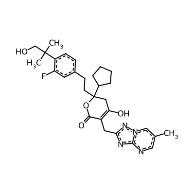 Cc1cnc2nc(CC3=C(O)CC(CCc4ccc(C(C)(C)CO)c(F)c4)(C4CCCC4)OC3=O)nn2c1